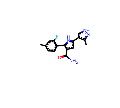 Cc1ccc(-c2[nH]c(-c3c[nH]nc3C)cc2C(N)=O)c(F)c1